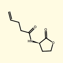 C=CCCC(=O)N[C@@H]1CCOC1=O